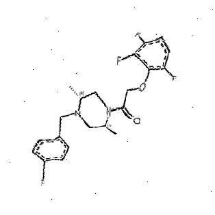 C[C@@H]1CN(C(=O)COc2c(F)ccc(F)c2F)[C@@H](C)CN1Cc1ccc(F)cc1